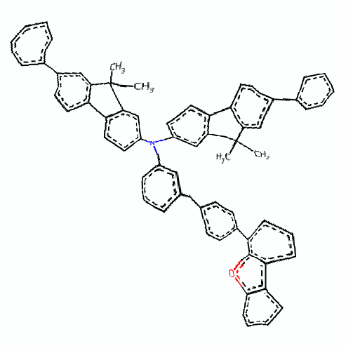 CC1(C)c2cc(-c3ccccc3)ccc2-c2ccc(N(c3cccc(-c4ccc(-c5cccc6c5oc5ccccc56)cc4)c3)c3ccc4c(c3)C(C)(C)c3cc(-c5ccccc5)ccc3-4)cc21